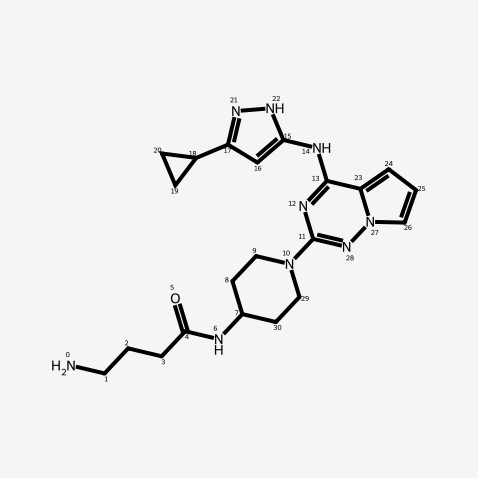 NCCCC(=O)NC1CCN(c2nc(Nc3cc(C4CC4)n[nH]3)c3cccn3n2)CC1